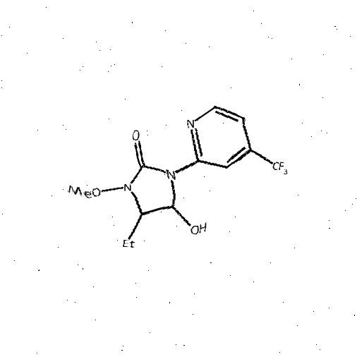 CCC1C(O)N(c2cc(C(F)(F)F)ccn2)C(=O)N1OC